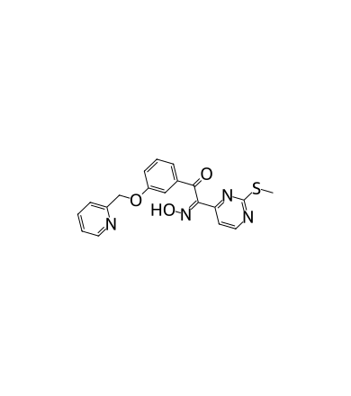 CSc1nccc(C(=NO)C(=O)c2cccc(OCc3ccccn3)c2)n1